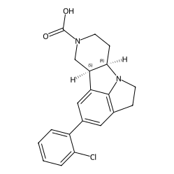 O=C(O)N1CC[C@@H]2[C@H](C1)c1cc(-c3ccccc3Cl)cc3c1N2CC3